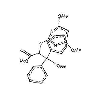 COC(=O)C(Oc1nc(OC)cc(OC)n1)C(OC)(c1ccccc1)c1ccccc1